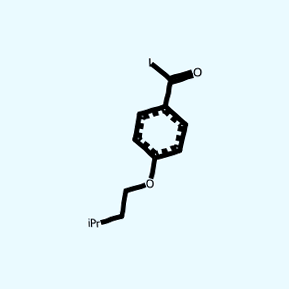 CC(C)CCOc1ccc(C(=O)I)cc1